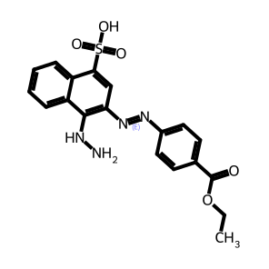 CCOC(=O)c1ccc(/N=N/c2cc(S(=O)(=O)O)c3ccccc3c2NN)cc1